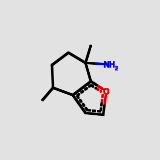 CC1CCC(C)(N)c2occc21